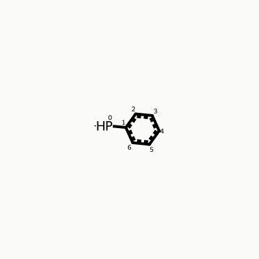 [PH]c1ccccc1